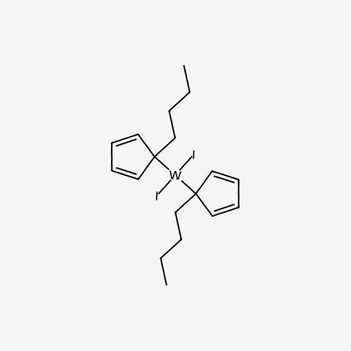 CCCC[C]1([W]([I])([I])[C]2(CCCC)C=CC=C2)C=CC=C1